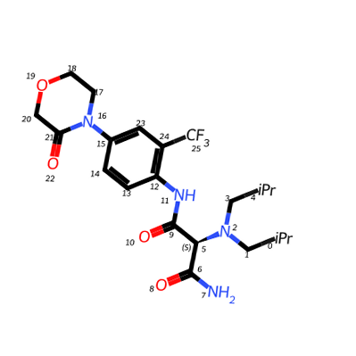 CC(C)CN(CC(C)C)[C@@H](C(N)=O)C(=O)Nc1ccc(N2CCOCC2=O)cc1C(F)(F)F